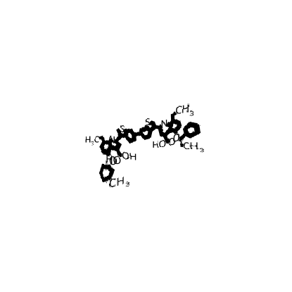 CCc1ccc(O[C@H](CC)c2ccccc2)c2c(C(=O)O)cc(-c3csc4cc(-c5ccc6c(-c7cc(C(O)O)c8c(O[C@@H]9CCC[C@@H](C)C9)ccc(CC)c8n7)csc6c5)ccc34)nc12